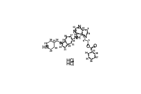 Cl.Cl.O=C(OCCn1ccc2ncnc(Nc3ccc4c(ccn4CC4CCNCC4)c3)c21)c1ccccc1